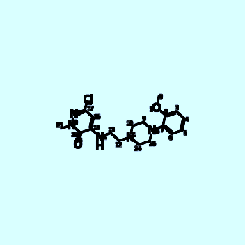 COc1ccccc1N1CCN(CCNc2cc(Cl)nn(C)c2=O)CC1